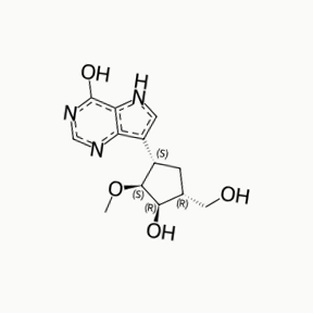 CO[C@@H]1[C@H](O)[C@@H](CO)C[C@H]1c1c[nH]c2c(O)ncnc12